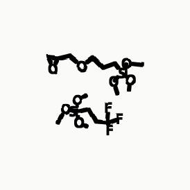 CO[Si](CCC(F)(F)F)(OC)OC.CO[Si](CCCOCC1CO1)(OC)OC